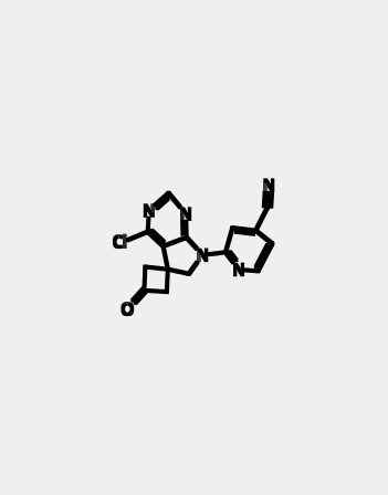 N#Cc1ccnc(N2CC3(CC(=O)C3)c3c(Cl)ncnc32)c1